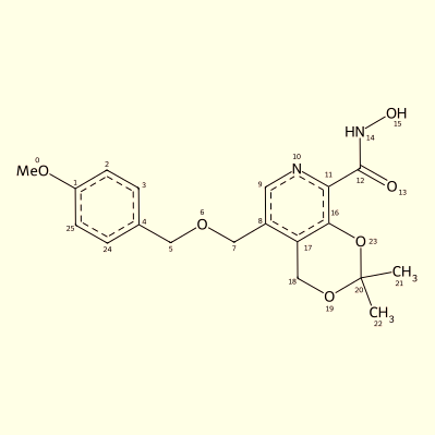 COc1ccc(COCc2cnc(C(=O)NO)c3c2COC(C)(C)O3)cc1